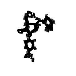 CCC1C(=O)N(c2ccc(C)cc2)N=C1Cn1ccnc1